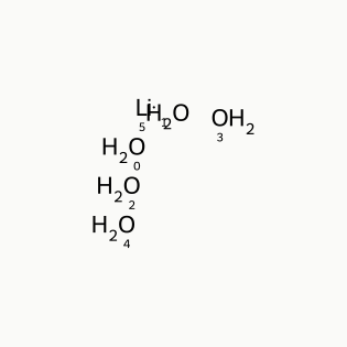 O.O.O.O.O.[Li]